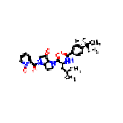 CC(C)CC(NC(=O)c1ccc(C(C)(C)C)cc1)C(=O)N1CCC2C1C(=O)CN2C(=O)c1cccc[n+]1[O-]